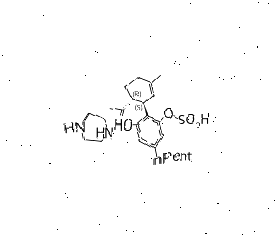 C1CNCCN1.C=C(C)[C@@H]1CCC(C)=C[C@H]1c1c(O)cc(CCCCC)cc1OS(=O)(=O)O